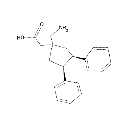 NCC1(CC(=O)O)C[C@H](c2ccccc2)[C@H](c2ccccc2)C1